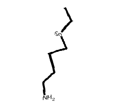 C[CH2][Sn][CH2]CCCN